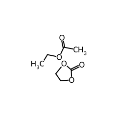 CCOC(C)=O.O=C1OCCO1